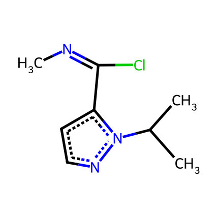 C/N=C(/Cl)c1ccnn1C(C)C